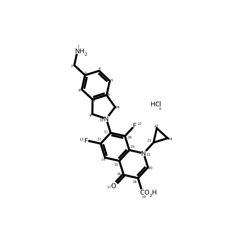 Cl.NCc1ccc2c(c1)CN(c1c(F)cc3c(=O)c(C(=O)O)cn(C4CC4)c3c1F)C2